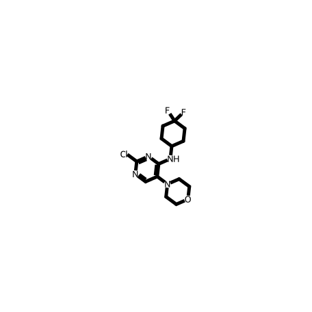 FC1(F)CCC(Nc2nc(Cl)ncc2N2CCOCC2)CC1